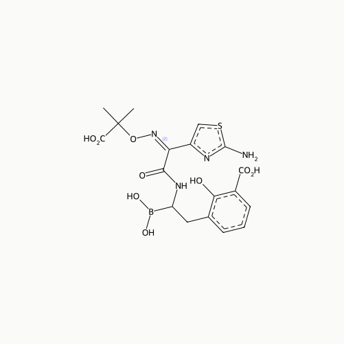 CC(C)(O/N=C(\C(=O)NC(Cc1cccc(C(=O)O)c1O)B(O)O)c1csc(N)n1)C(=O)O